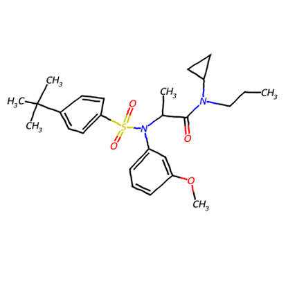 CCCN(C(=O)C(C)N(c1cccc(OC)c1)S(=O)(=O)c1ccc(C(C)(C)C)cc1)C1CC1